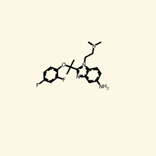 CN(C)CCn1c(C(C)(C)Oc2ccc(F)cc2F)nc2cc(N)ccc21